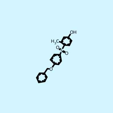 Cc1cc(O)ccc1S(=O)(=O)c1ccc(OCc2ccccc2)cc1